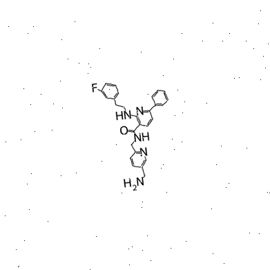 NCc1ccc(CNC(=O)c2ccc(-c3ccccc3)nc2NCCc2cccc(F)c2)nc1